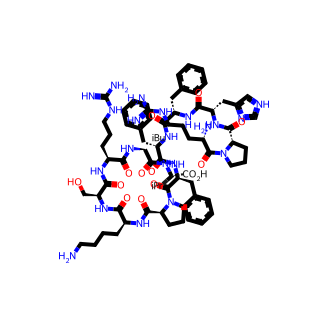 CC[C@H](C)[C@H](NC(=O)[C@H](CCCNC(=N)N)NC(=O)[C@H](CO)NC(=O)[C@H](CCCCN)NC(=O)[C@@H]1CCCN1C(=O)[C@H](Cc1ccccc1)NC(=O)[C@H](Cc1ccccc1)NC(=O)[C@H](Cc1ccccc1)NC(=O)[C@H](Cc1c[nH]cn1)NC(=O)[C@@H]1CCCN1C(=O)[C@@H](N)CCCNC(=N)N)C(=O)N[C@H](C(=O)O)C(C)C